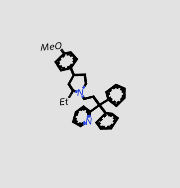 CCC1CC(c2ccc(OC)cc2)CCN1CCC(c1ccccc1)(c1ccccc1)c1ccccn1